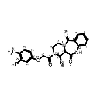 O=C1Nc2ccccc2C(=O)N2CCN(C(=O)COc3ccc(C(F)(F)F)c(F)c3)C(Br)C12